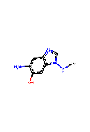 CC(C)Nn1cnc2cc(N)c(O)cc21